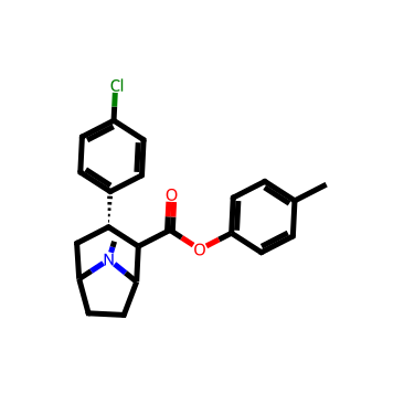 Cc1ccc(OC(=O)C2C3CCC(C[C@@H]2c2ccc(Cl)cc2)N3C)cc1